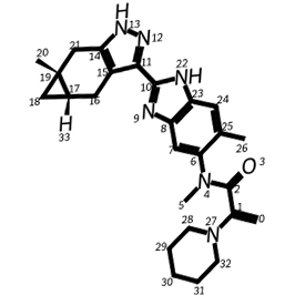 C=C(C(=O)N(C)c1cc2nc(-c3n[nH]c4c3C[C@@H]3C[C@]3(C)C4)[nH]c2cc1C)N1CCCCC1